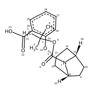 CC(C)(C)OC(=O)N1[C@@H]2CC[C@H]1C[C@@H](Oc1ccccc1C(=O)O)C2